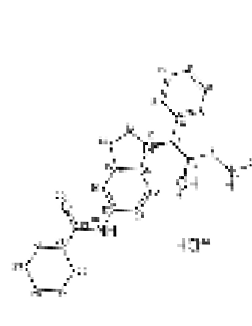 CNC[C@@H](O)[C@H](c1ccccc1)N1CCc2cc(NC(=O)C3CCCCC3)ccc21.Cl